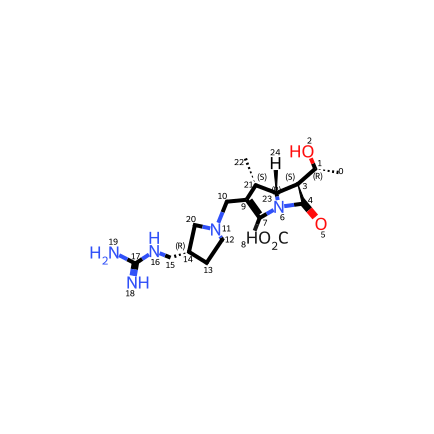 C[C@@H](O)[C@H]1C(=O)N2C(C(=O)O)=C(CN3CC[C@H](CNC(=N)N)C3)[C@H](C)[C@H]12